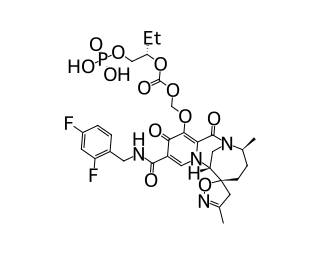 CC[C@@H](COP(=O)(O)O)OC(=O)OCOc1c2n(cc(C(=O)NCc3ccc(F)cc3F)c1=O)[C@@H]1CN(C2=O)[C@@H](C)CC[C@]12CC(C)=NO2